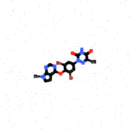 CC(C)n1ccc2c(Oc3c(Br)cc(-n4nc(C#N)c(=O)[nH]c4=O)cc3Br)ncnc21